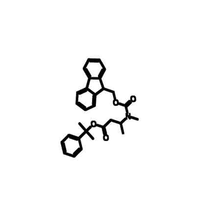 CC(CC(=O)OC(C)(C)c1ccccc1)N(C)C(=O)OCC1c2ccccc2-c2ccccc21